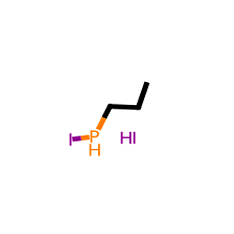 CCCPI.I